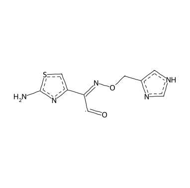 Nc1nc(C([C]=O)=NOCc2c[nH]cn2)cs1